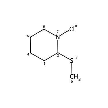 CSC1CCCCN1Cl